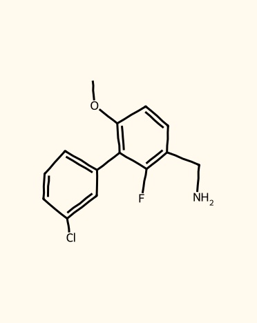 COc1ccc(CN)c(F)c1-c1cccc(Cl)c1